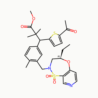 CC[C@@H]1CN(Cc2cc(C(c3ccc(C(C)=O)s3)C(C)(C)C(=O)OC)ccc2C)S(=O)(=O)c2cnccc2O1